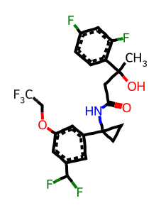 CC(O)(CC(=O)NC1(c2cc(OCC(F)(F)F)cc(C(F)F)c2)CC1)c1ccc(F)cc1F